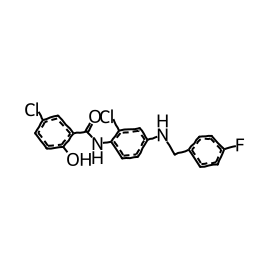 O=C(Nc1ccc(NCc2ccc(F)cc2)cc1Cl)c1cc(Cl)ccc1O